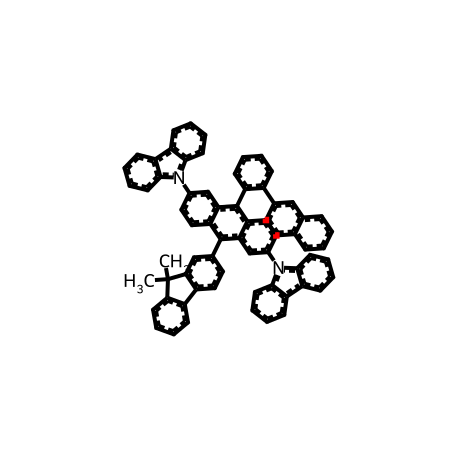 CC1(C)c2ccccc2-c2ccc(-c3c4cc(-n5c6ccccc6c6ccccc65)ccc4c(-c4ccccc4-c4ccc5ccccc5c4)c4cc(-n5c6ccccc6c6ccccc65)ccc34)cc21